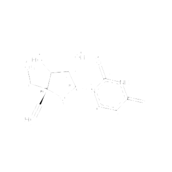 C#C[C@]1(CO)O[C@@H](n2ccc(=S)[nH]c2=O)[C@@H](O)C1O